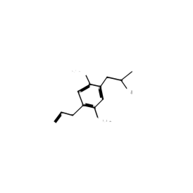 C=CCc1cc(OC)c(CC(C)N)cc1OC